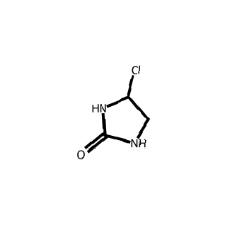 O=C1NCC(Cl)N1